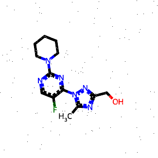 Cc1nc(CO)nn1-c1nc(N2CCCCC2)ncc1F